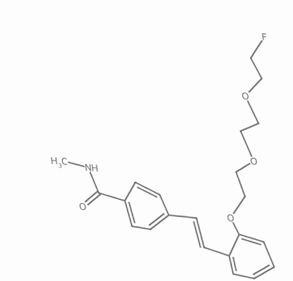 CNC(=O)c1ccc(C=Cc2ccccc2OCCOCCOCCF)cc1